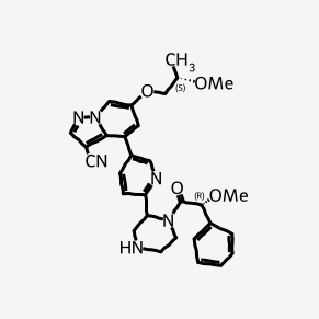 CO[C@@H](C)COc1cc(-c2ccc(C3CNCCN3C(=O)[C@H](OC)c3ccccc3)nc2)c2c(C#N)cnn2c1